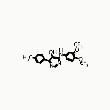 Cc1ccc(-c2ncnc(Nc3ccc(OC(F)(F)F)c(OC(F)(F)F)c3)c2O)cc1